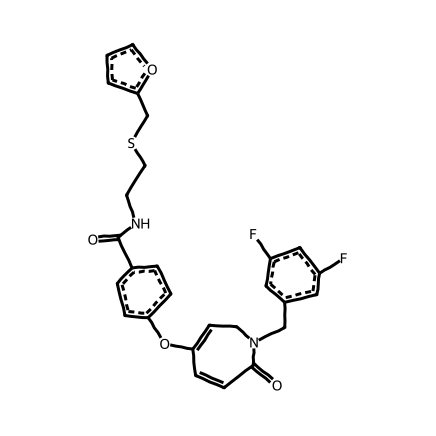 O=C(NCCSCc1ccco1)c1ccc(OC2=CCN(Cc3cc(F)cc(F)c3)C(=O)C=C2)cc1